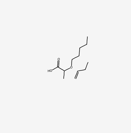 C=CCC.CCCCCOC(C)C(=O)O